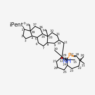 CCCC(C)C1CCC2C3CCC4CC(CC5NC(C)C67P=CC(C)(C)CCC6CCCC7C5C)CCC4(C)C3CCC12C